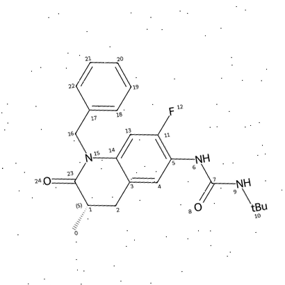 C[C@H]1Cc2cc(NC(=O)NC(C)(C)C)c(F)cc2N(Cc2ccccc2)C1=O